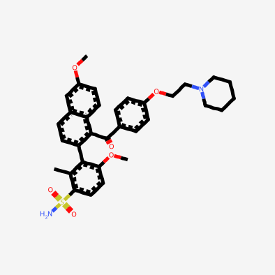 COc1ccc2c(C(=O)c3ccc(OCCN4CCCCC4)cc3)c(-c3c(OC)ccc(S(N)(=O)=O)c3C)ccc2c1